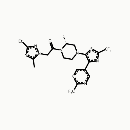 CCc1nc(C)n(CC(=O)N2CCN(c3sc(C(F)(F)F)nc3-c3cnc(C(F)(F)F)nc3)C[C@H]2C)n1